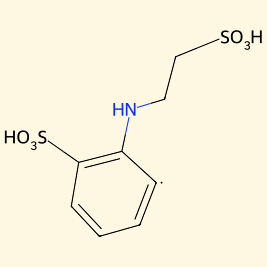 O=S(=O)(O)CCNc1[c]cccc1S(=O)(=O)O